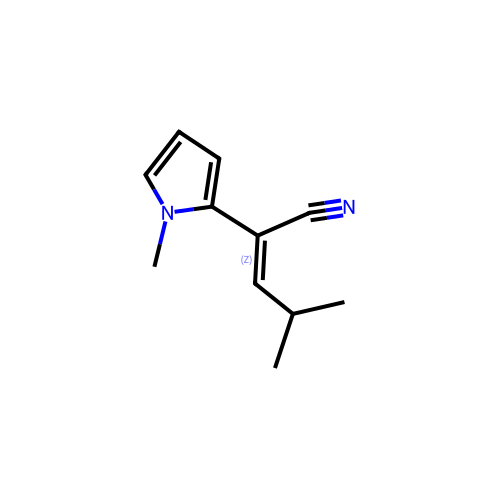 CC(C)/C=C(\C#N)c1cccn1C